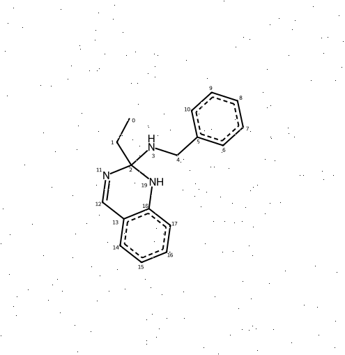 CCC1(NCc2ccccc2)N=Cc2cc[c]cc2N1